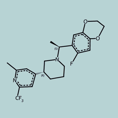 Cc1cc([C@H]2CCCN([C@@H](C)c3cc4c(cc3F)OCCO4)C2)cc(C(F)(F)F)n1